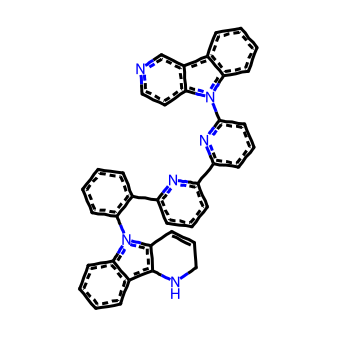 C1=Cc2c(c3ccccc3n2-c2ccccc2-c2cccc(-c3cccc(-n4c5ccccc5c5cnccc54)n3)n2)NC1